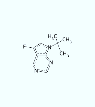 CC(C)(C)n1cc(F)c2cncnc21